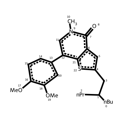 CCCCC(CCC)Cc1cc2c(=O)n(C)cc(-c3ccc(OC)c(OC)c3)c2s1